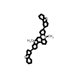 CN1c2cc(-c3ccc4sc5ccccc5c4c3)ccc2-c2cc3c(c4cccc1c24)c1ccc(-c2ccc4sc5ccccc5c4c2)cc1n3C